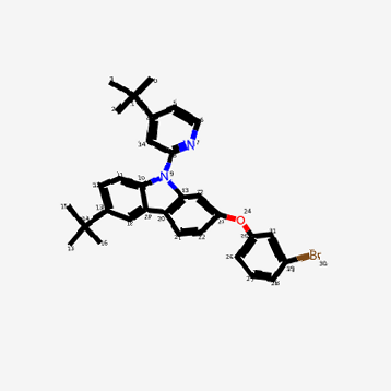 CC(C)(C)c1ccnc(-n2c3ccc(C(C)(C)C)cc3c3ccc(Oc4cccc(Br)c4)cc32)c1